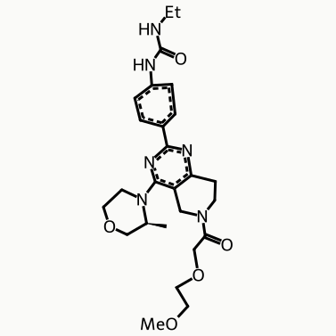 CCNC(=O)Nc1ccc(-c2nc3c(c(N4CCOC[C@@H]4C)n2)CN(C(=O)COCCOC)CC3)cc1